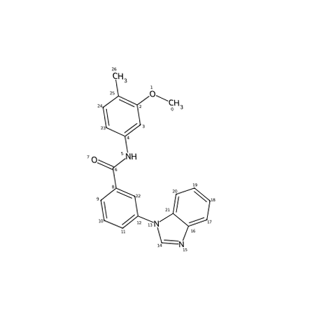 COc1cc(NC(=O)c2cccc(-n3cnc4ccccc43)c2)ccc1C